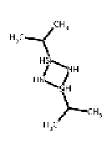 CC(C)[SiH]1N[SiH](C(C)C)N1